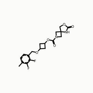 Cc1ccc(COC2CC(OC(=O)N3CC4(COC(=O)N4)C3)C2)c(F)c1F